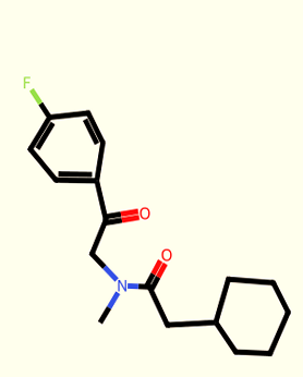 CN(CC(=O)c1ccc(F)cc1)C(=O)CC1CCCCC1